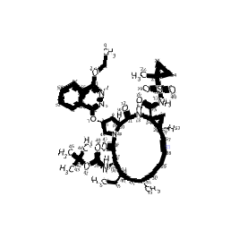 CCOc1nnc(O[C@@H]2C[C@H]3C(=O)N[C@]4(C(=O)NS(=O)(=O)C5(C)CC5)C[C@H]4/C=C\CC[C@H](C)C[C@@H](CC)[C@H](NC(=O)OC(C)(C)C)C(=O)N3C2)c2ccccc12